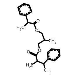 BC(C(=O)OCC(C)COC(=O)C(C)c1ccccc1)C(C)c1ccccc1